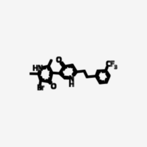 Cc1[nH]c(C)c(-c2c[nH]c(CCc3cccc(C(F)(F)F)c3)cc2=O)c(=O)c1Br